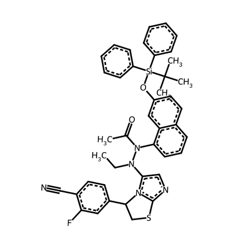 CCN(c1cnc2n1C(c1ccc(C#N)c(F)c1)CS2)N(C(C)=O)c1cccc2ccc(O[Si](c3ccccc3)(c3ccccc3)C(C)(C)C)cc12